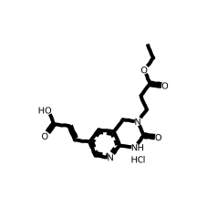 CCOC(=O)CCN1Cc2cc(C=CC(=O)O)cnc2NC1=O.Cl